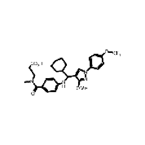 COc1nn(-c2ccc(OC(F)(F)F)cc2)cc1C(Nc1ccc(C(=O)N(C)CCC(=O)O)cc1)C1CCCCC1